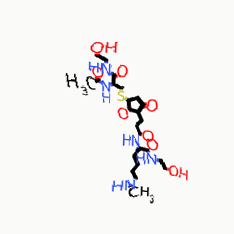 CNCCCCC(NC(=O)CCC1C(=O)CC(SCC(NC(C)=O)C(=O)NCCO)C1=O)C(=O)NCCO